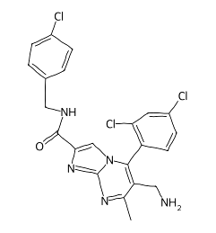 Cc1nc2nc(C(=O)NCc3ccc(Cl)cc3)cn2c(-c2ccc(Cl)cc2Cl)c1CN